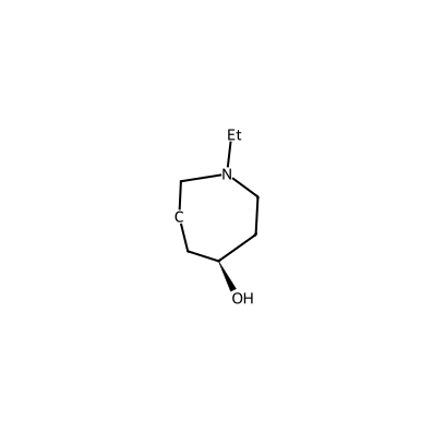 CCN1CCC[C@H](O)CC1